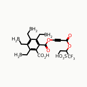 BCc1c(CB)c(CB)c(C(=O)OC#CC(=O)OC(CS(=O)(=O)O)C(F)(F)F)c(C(=O)O)c1CB